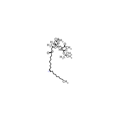 CCCCCCCC/C=C\CCCCCCCC(=O)OC[C@@H](C)OP(=O)(OC[C@H](NC(=O)OC(C)(C)C)C(C)=O)OC(C)(C)C